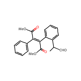 COC(=O)C(=C(C(=O)OC)c1ccccc1C(C)C=O)c1ccccc1